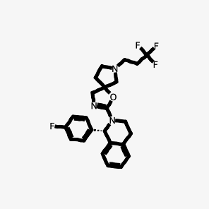 Fc1ccc([C@H]2c3ccccc3CCN2C2=NCC3(CCN(CCC(F)(F)F)C3)O2)cc1